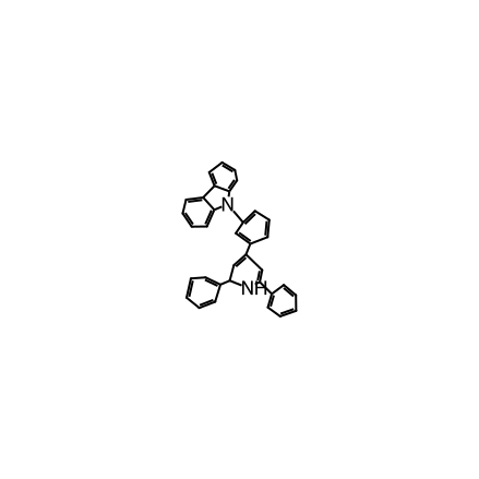 C1=C(c2cccc(-n3c4ccccc4c4ccccc43)c2)C=C(c2ccccc2)NC1c1ccccc1